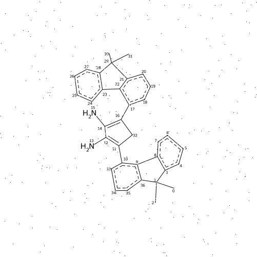 CC1(C)c2ccccc2-c2c(C3=C(N)C(N)=C(c4cccc5c4-c4ccccc4C5(C)C)C3)cccc21